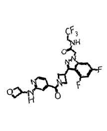 O=C(Cn1nc(C2CN(C(=O)c3ccnc(NC4COC4)c3)C2)c2c(F)cc(F)cc21)NCC(F)(F)F